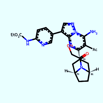 CCOC(=O)Nc1ccc(-c2cnn3c(N)c(C(C)=O)c([C@@H]4C[C@H]5CC[C@@H](C4)N5C(=O)CO)nc23)cn1